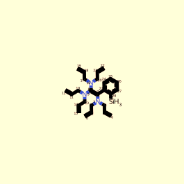 C=CCN(CC=C)C(=C(N(CC=C)CC=C)N(CC=C)CC=C)c1ccccc1[SiH3]